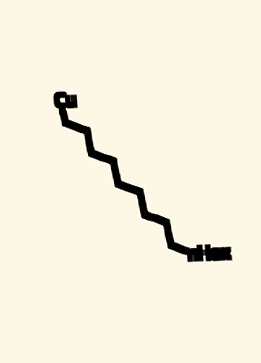 CCCCCCCCCCCCCC[CH2][Cu]